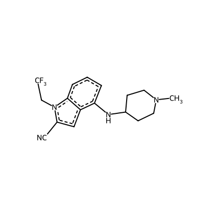 CN1CCC(Nc2cccc3c2cc(C#N)n3CC(F)(F)F)CC1